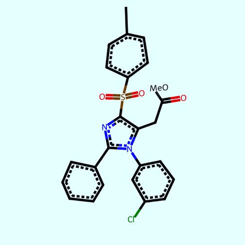 COC(=O)Cc1c(S(=O)(=O)c2ccc(C)cc2)nc(-c2ccccc2)n1-c1cccc(Cl)c1